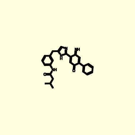 CC(C)CC(=O)Nc1cccc(Cc2cnc(C3=CC(=O)C(c4ccccc4)=CC3=N)[nH]2)c1